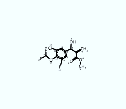 C=C(C(=O)OC)C(O)c1cc(F)c(OC(F)F)c(Cl)c1